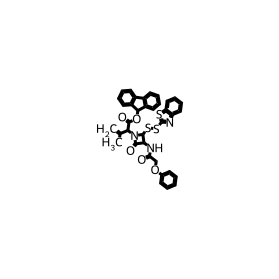 C=C(C)C(C(=O)OC1c2ccccc2-c2ccccc21)N1C(=O)C(NC(=O)COc2ccccc2)C1SSc1nc2ccccc2s1